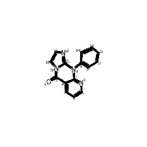 O=c1c2cccnc2n(-c2ccccc2)c2nccn12